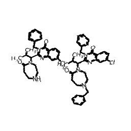 CC(C)C(c1nc2cc(Cl)ccc2c(=O)n1Cc1ccccc1)N1CCN(Cc2ccccc2)CCC1=O.CC(C)C(c1nc2cc(Cl)ccc2c(=O)n1Cc1ccccc1)N1CCNCCC1=O